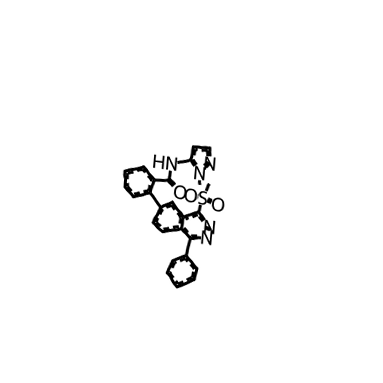 Cn1nccc1NC(=O)c1ccccc1-c1ccc2c(-c3ccccc3)nnc(S(C)(=O)=O)c2c1